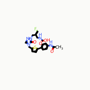 CC(=O)Nc1ccc(-c2ccc(Cn3cnn(C/C(=C\F)CNC(=O)O)c3=O)s2)cc1